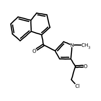 Cn1cc(C(=O)c2cccc3ccccc23)cc1C(=O)CCl